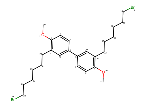 COc1ccc(-c2ccc(OC)c(CCCCCCBr)c2)cc1CCCCCCBr